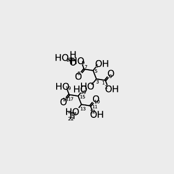 O=C(O)C(O)C(O)C(=O)O.O=C(O)C(O)C(O)C(=O)O.OO.[Ti]